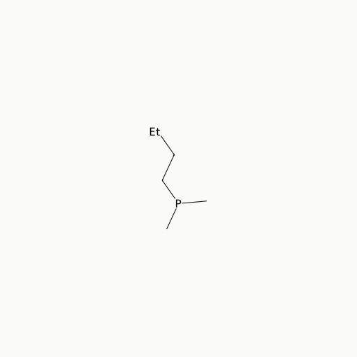 CCCCP(C)C